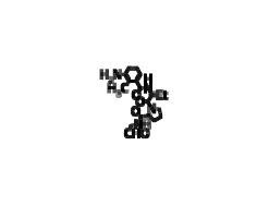 CC[C@H](NC(=O)c1cccc(N)c1C)C(=O)N1CCC[C@H]1C(=O)NCC=O